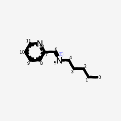 CCCCC/N=C/c1ccccn1